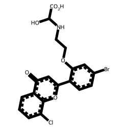 O=C(O)C(O)NCCOc1cc(Br)ccc1-c1cc(=O)c2cccc(Cl)c2o1